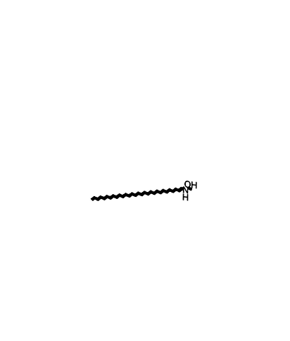 CCCCCCCCCCCCCCCCCCCCCCCCCCCCC=CNC(C)O